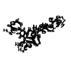 CCn1c(-c2cccnc2[C@H](C)OC)c(CC(C)(C)COC(=O)[C@@]2([SiH3])CCCN(C(=O)[C@H](C)[SiH3])N2)c2cc(N3CCOC[C@H]3C)ccc21